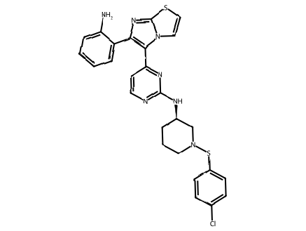 Nc1ccccc1-c1nc2sccn2c1-c1ccnc(N[C@@H]2CCCN(Sc3ccc(Cl)cc3)C2)n1